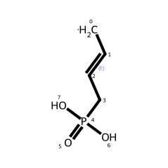 [CH2]/C=C/CP(=O)(O)O